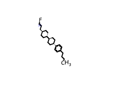 CCCCc1ccc([C@H]2CC[C@H]([C@H]3CC[C@H](C/C=C/F)CC3)CC2)cc1